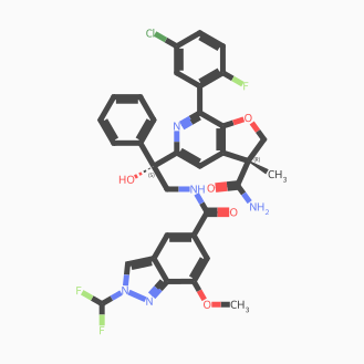 COc1cc(C(=O)NC[C@@](O)(c2ccccc2)c2cc3c(c(-c4cc(Cl)ccc4F)n2)OC[C@]3(C)C(N)=O)cc2cn(C(F)F)nc12